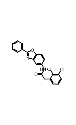 C[C@H](C(=O)Nc1ccc2oc(-c3ccccc3)nc2c1)c1cccc(Cl)c1Cl